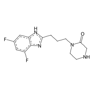 O=C1CNCCN1CCCc1nc2c(F)cc(F)cc2[nH]1